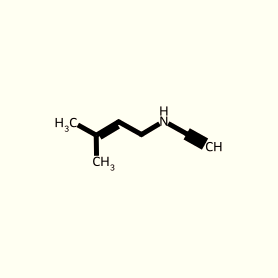 C#CNCC=C(C)C